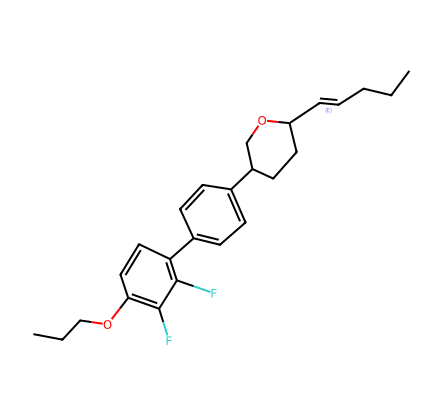 CCC/C=C/C1CCC(c2ccc(-c3ccc(OCCC)c(F)c3F)cc2)CO1